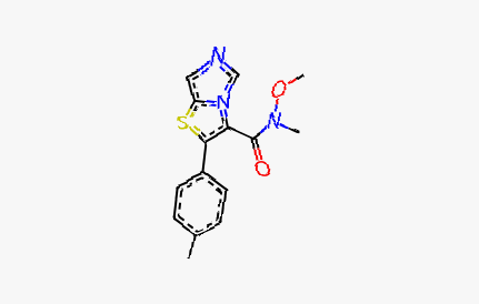 CON(C)C(=O)c1c(-c2ccc(C)cc2)sc2cncn12